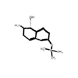 CC(=O)O[C@H]1C(C)CC=C2C=C(O[Si](C)(C)C)CCC21